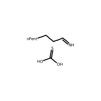 CCCCCCCC=N.OC(O)=S